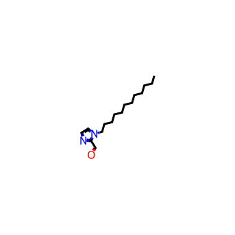 CCCCCCCCCCCCn1ccnc1C=O